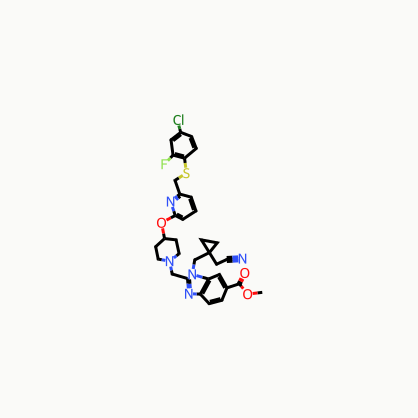 COC(=O)c1ccc2nc(CN3CCC(Oc4cccc(CSc5ccc(Cl)cc5F)n4)CC3)n(CC3(CC#N)CC3)c2c1